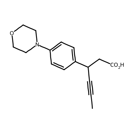 CC#CC(CC(=O)O)c1ccc(N2CCOCC2)cc1